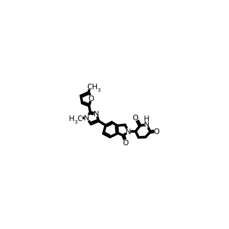 Cc1ccc(-c2nc(-c3ccc4c(c3)CN(C3CCC(=O)NC3=O)C4=O)cn2C)o1